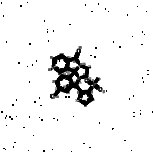 CS(=O)(=O)c1ccsc1C(=O)N1CCN2C(=O)c3ccncc3C21c1ccc(Cl)cc1